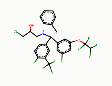 OC(CCl)CN[C@@](Cc1ccccc1)(c1cc(F)cc(OC(F)(F)C(F)F)c1)c1ccc(F)c(C(F)(F)F)c1